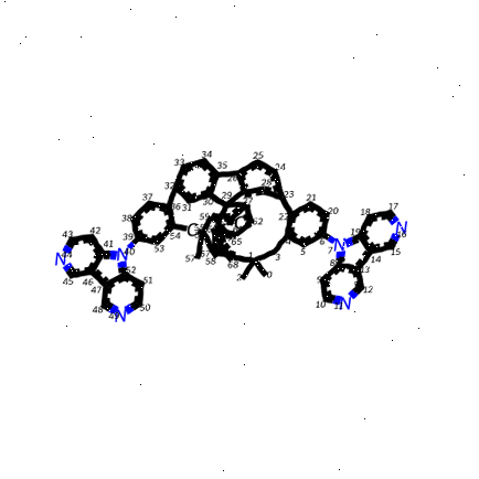 CC1(C)Cc2cc(-n3c4ccncc4c4cnccc43)ccc2-c2ccc3c(c2)C24c5cc(ccc5-3)-c3ccc(-n5c6ccncc6c6cnccc65)cc3CC(C)(C)c3ccc(c2c3)-c2ccc1cc24